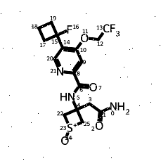 NC(=O)CC1(NC(=O)c2cc(OCC(F)(F)F)c(C3(F)CCC3)cn2)C[S+]([O-])C1